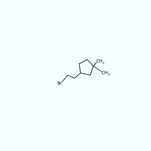 CC1(C)CCC(CCBr)C1